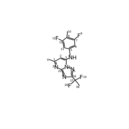 Cc1cc(Nc2cc(F)c(C)c(F)c2)n2nc(C(C)(F)F)nc2n1